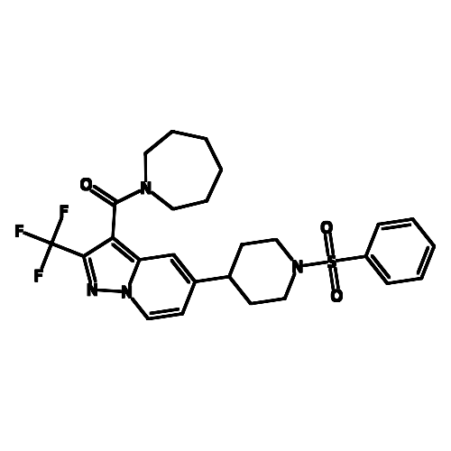 O=C(c1c(C(F)(F)F)nn2ccc(C3CCN(S(=O)(=O)c4ccccc4)CC3)cc12)N1CCCCCC1